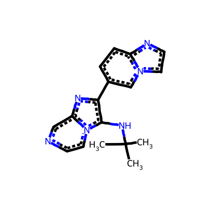 CC(C)(C)Nc1c(-c2ccc3nccn3c2)nc2cnccn12